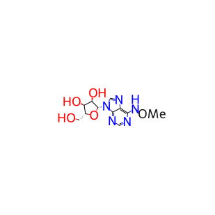 CONc1ncnc2c1ncn2[C@@H]1O[C@H](CO)[C@@H](O)[C@H]1O